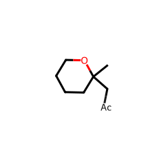 CC(=O)CC1(C)CCCCO1